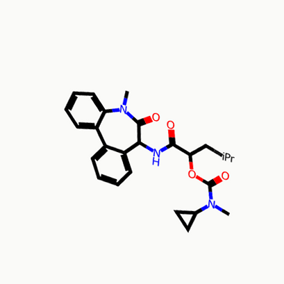 CC(C)CC(OC(=O)N(C)C1CC1)C(=O)NC1C(=O)N(C)c2ccccc2-c2ccccc21